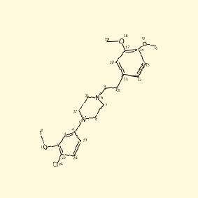 COc1cc(N2CCN(CCc3ccc(OC)c(OC)c3)CC2)ccc1Cl